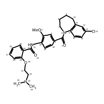 COc1cc(C(=O)N2CCCCc3cc(Cl)ccc32)ccc1NC(=O)c1ccccc1OCCN(C)C